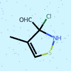 CC1=CSNC1(Cl)C=O